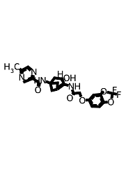 Cc1cnc(C(=O)NC23CC(=C(NC(=O)COc4ccc5c(c4)OC(F)(F)O5)[C@@H](O)C2)C3)cn1